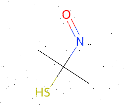 CC(C)(S)N=O